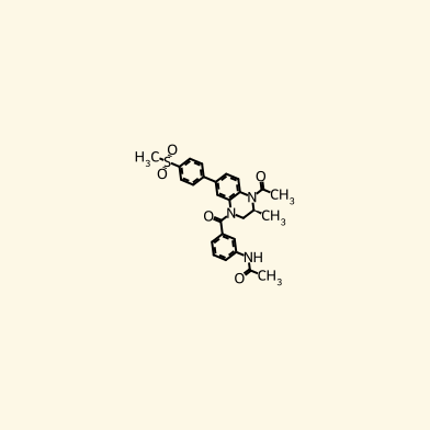 CC(=O)Nc1cccc(C(=O)N2C[C@H](C)N(C(C)=O)c3ccc(-c4ccc(S(C)(=O)=O)cc4)cc32)c1